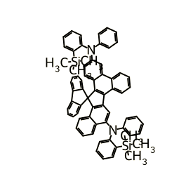 C[Si](C)(C)c1ccccc1N(c1ccccc1)c1ccc2c3c(c4ccccc4c2c1)-c1cc(N(c2ccccc2)c2ccccc2[Si](C)(C)C)c2ccccc2c1C31c2ccccc2-c2ccccc21